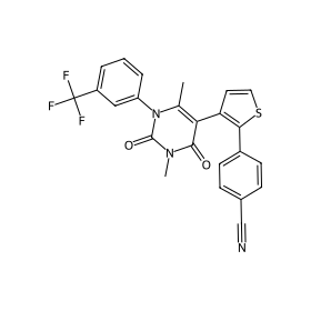 Cc1c(-c2ccsc2-c2ccc(C#N)cc2)c(=O)n(C)c(=O)n1-c1cccc(C(F)(F)F)c1